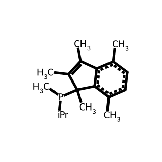 CC1=C(C)C(C)(P(C)C(C)C)c2c(C)ccc(C)c21